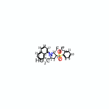 O=C(O)C1CC(S(=O)(=O)c2ccccc2C(F)(F)F)CN1c1cccc2ccccc12